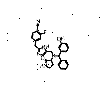 N#Cc1ccc(Cc2ncc(CN(C3CCNC3=O)C(c3ccccc3)c3cccc(O)c3)[nH]2)cc1F